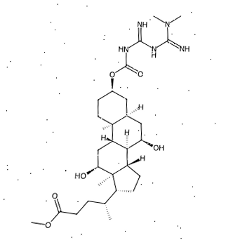 COC(=O)CC[C@@H](C)[C@H]1CC[C@H]2[C@@H]3[C@H](O)C[C@@H]4C[C@H](OC(=O)NC(=N)NC(=N)N(C)C)CC[C@]4(C)[C@H]3C[C@H](O)[C@]12C